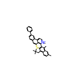 Cc1ccc2c(CC(C)(C)C)c3c(c(C)c2c1)-c1c2c(cc4ccc(-c5ccccc5)cc4c2cc[n+]1C)S3